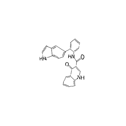 O=C(Nc1ccccc1-c1ccc2[nH]ccc2c1)c1c[nH]c2ccccc2c1=O